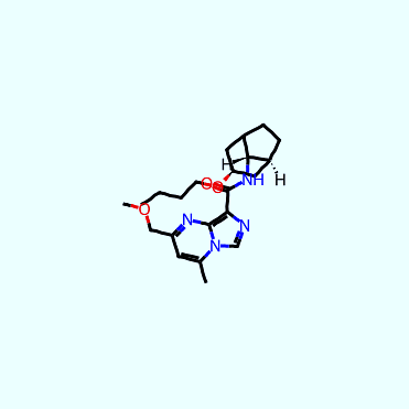 CCCCO[C@H]1CC2CC[C@@H](C1)[C@@H]2NC(=O)c1ncn2c(C)cc(COC)nc12